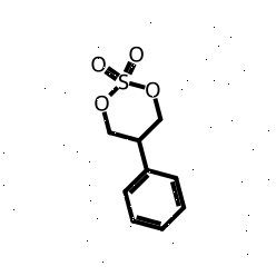 O=S1(=O)OCC(c2ccccc2)CO1